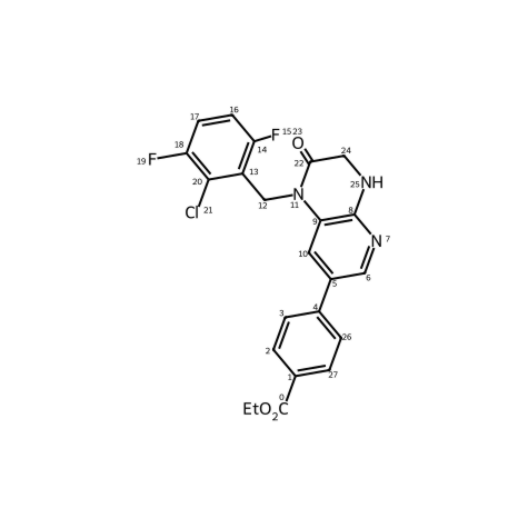 CCOC(=O)c1ccc(-c2cnc3c(c2)N(Cc2c(F)ccc(F)c2Cl)C(=O)CN3)cc1